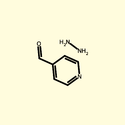 NN.O=Cc1ccncc1